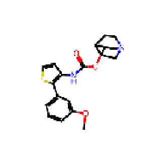 COc1cccc(-c2sccc2NC(=O)OC2CN3CCC2CC3)c1